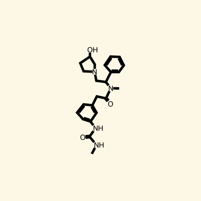 CNC(=O)Nc1cccc(CC(=O)N(C)C(CN2CCC(O)C2)c2ccccc2)c1